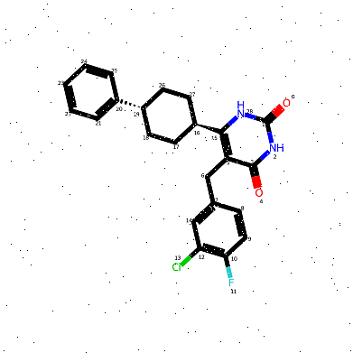 O=c1[nH]c(=O)c(Cc2ccc(F)c(Cl)c2)c([C@H]2CC[C@H](c3ccccc3)CC2)[nH]1